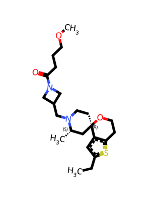 CCc1cc2c(s1)CCO[C@@]21CCN(CC2CN(C(=O)CCCOC)C2)[C@@H](C)C1